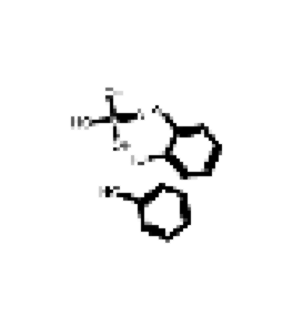 CC(C)c1ccccc1O.O=P(O)(O)O.Oc1ccccc1